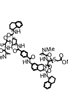 CN[C@@H](C)C(=O)NC(C(=O)N1C[C@@H](NC(=O)c2ccc(C(=O)Nc3ccc4c(c3)CN(C(=O)[C@@H](NC(=O)[C@H](C)NC)C(C)(C)SCC(=O)OC)[C@H](C(=O)N[C@@H]3CCCc5ccccc53)C4)cc2)C[C@H]1C(=O)N[C@@H]1CCCc2ccccc21)C(C)(C)C